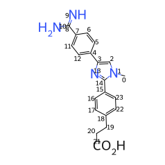 Cn1cc(-c2ccc(C(=N)N)cc2)nc1-c1ccc(CCC(=O)O)cc1